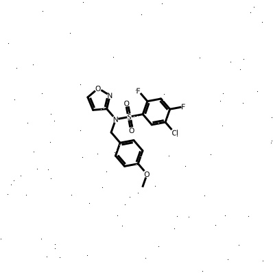 COc1ccc(CN(c2ccon2)S(=O)(=O)c2cc(Cl)c(F)cc2F)cc1